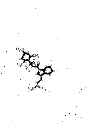 Cc1cc(C)c(C(C)(C)CC(=O)n2cc(CCN(C)C)c3ccccc32)c(C)c1